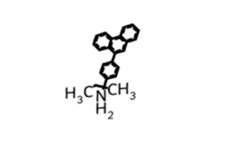 CCC(C)(N)c1ccc(-c2cc3ccccc3c3ccccc23)cc1